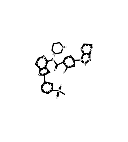 CS(=O)(=O)c1cccc(-c2cc3c(N(C(=O)c4ccc(-n5nnc6cccnc65)cc4F)[C@@H]4CCCNC4)nccc3s2)c1